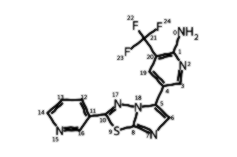 Nc1ncc(-c2cnc3sc(-c4cccnc4)nn23)cc1C(F)(F)F